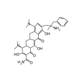 CN(C)c1cc(CC(C)(N)Cc2ccccc2)c(O)c2c1CC1CC3C(C(=O)C(C(N)=O)=C(O)[C@H]3N(C)C)C(O)=C1C2=O